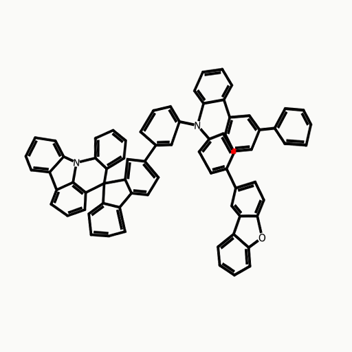 c1ccc(-c2cccc(-c3ccccc3N(c3ccc(-c4ccc5oc6ccccc6c5c4)cc3)c3cccc(-c4ccc5c(c4)C4(c6ccccc6-5)c5ccccc5-n5c6ccccc6c6cccc4c65)c3)c2)cc1